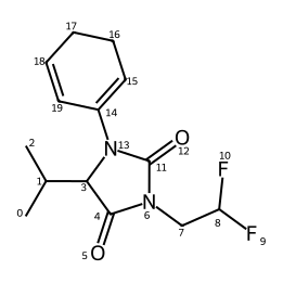 CC(C)C1C(=O)N(CC(F)F)C(=O)N1C1=CCCC=C1